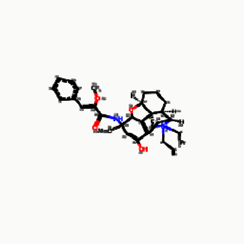 C=CC[N+]1(CC(C)C)CC[C@@]23C4=C5C[C@@H]1[C@@H]2CCC[C@@H]3OC4C(NC(=O)C(=Cc1ccccc1)OC(F)(F)F)(OC)C=C5O